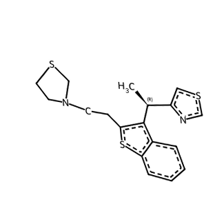 C[C@@H](c1cscn1)c1c(CCN2CCSC2)sc2ccccc12